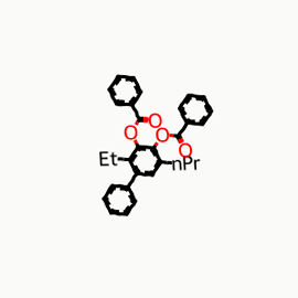 CCCc1cc(-c2ccccc2)c(CC)c(OC(=O)c2ccccc2)c1OC(=O)c1ccccc1